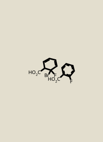 O=C(O)C1C=CC=CC1(F)Br.O=C(O)c1ccccc1F